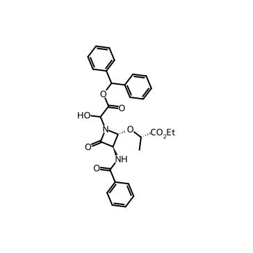 CCOC(=O)[C@H](C)O[C@@H]1[C@@H](NC(=O)c2ccccc2)C(=O)N1C(O)C(=O)OC(c1ccccc1)c1ccccc1